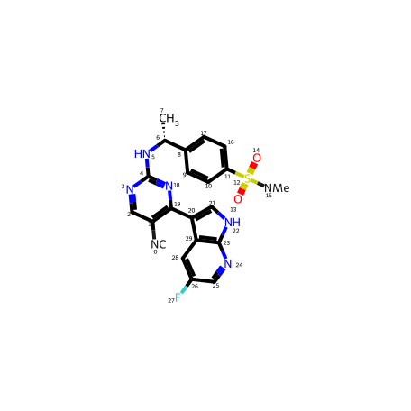 [C-]#[N+]c1cnc(N[C@H](C)c2ccc(S(=O)(=O)NC)cc2)nc1-c1c[nH]c2ncc(F)cc12